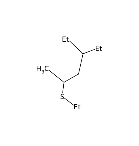 CCSC(C)CC(CC)CC